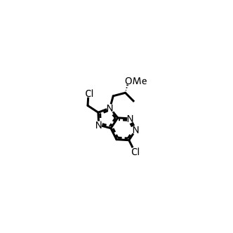 CO[C@H](C)Cn1c(CCl)nc2cc(Cl)nnc21